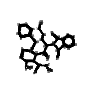 CC(C)(C)OC(=O)C1=C(C(=O)O)C=CN(Cc2ccccc2)N1C(=O)C(CCCBr)N1C(=O)c2ccccc2C1=O